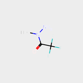 CN(N)C(=O)C(F)(F)F